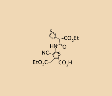 CCOC(=O)Cc1c(C(=O)O)sc(NC(=O)C(C(=O)OCC)c2ccsc2)c1C#N